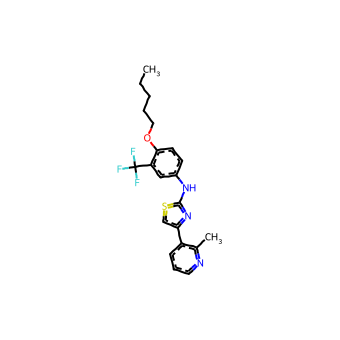 CCCCCOc1ccc(Nc2nc(-c3cccnc3C)cs2)cc1C(F)(F)F